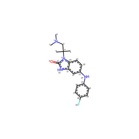 CN(C)CC(C)(C)n1c(=O)[nH]c2cc(Nc3ccc(F)cc3)ccc21